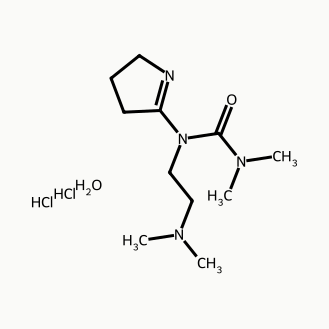 CN(C)CCN(C(=O)N(C)C)C1=NCCC1.Cl.Cl.O